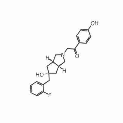 O=C(CN1C[C@@H]2C[C@@](O)(Cc3ccccc3F)C[C@@H]2C1)c1ccc(O)cc1